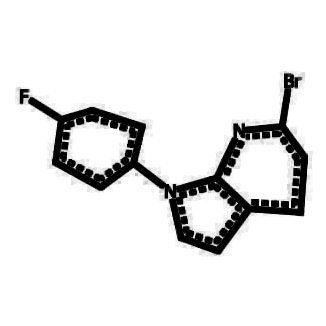 Fc1ccc(-n2ccc3ccc(Br)nc32)cc1